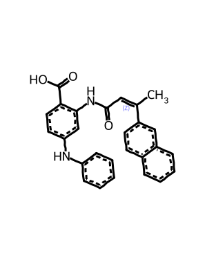 C/C(=C/C(=O)Nc1cc(Nc2ccccc2)ccc1C(=O)O)c1ccc2ccccc2c1